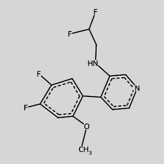 COc1cc(F)c(F)cc1-c1ccncc1NCC(F)F